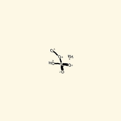 O=S(=O)(O)OCl.[KH]